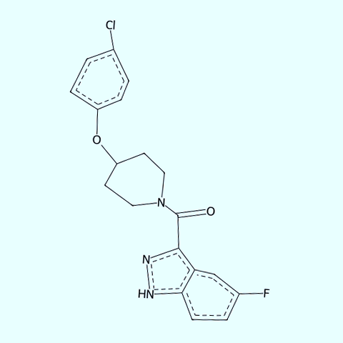 O=C(c1n[nH]c2ccc(F)cc12)N1CCC(Oc2ccc(Cl)cc2)CC1